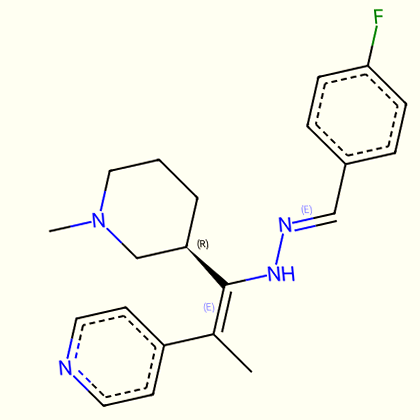 C/C(=C(\N/N=C/c1ccc(F)cc1)[C@@H]1CCCN(C)C1)c1ccncc1